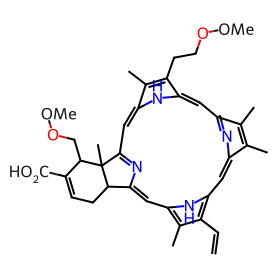 C=Cc1c(C)c2cc3nc(cc4[nH]c(cc5nc(cc1[nH]2)C(C)=C5C)c(CCOOC)c4C)C1(C)C(COOC)C(C(=O)O)=CCC31